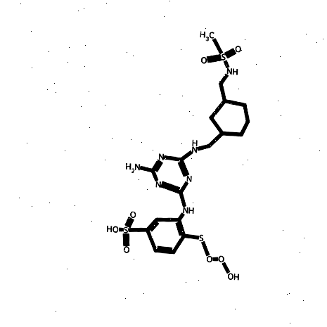 CS(=O)(=O)NCC1CCCC(CNc2nc(N)nc(Nc3cc(S(=O)(=O)O)ccc3SOOO)n2)C1